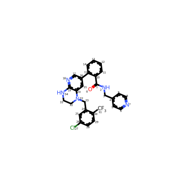 O=C(NCc1ccncc1)c1ccccc1-c1cnc2c(c1)N(Cc1cc(Cl)ccc1C(F)(F)F)CCN2